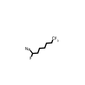 F[CH]([Na])CCCCCC(F)(F)F